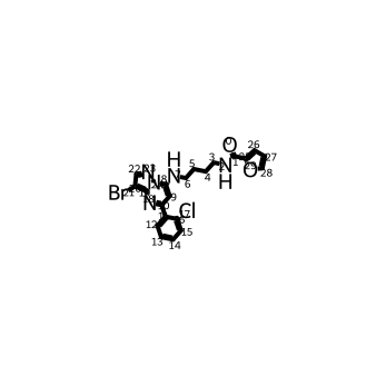 O=C(NCCCCNc1cc(-c2ccccc2Cl)nc2c(Br)cnn12)c1ccco1